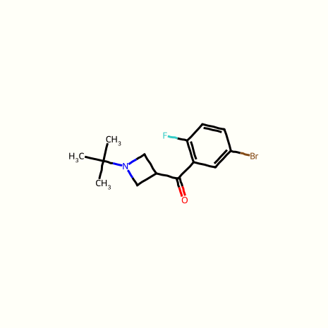 CC(C)(C)N1CC(C(=O)c2cc(Br)ccc2F)C1